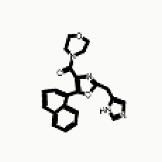 O=C(c1nc(Cc2cnc[nH]2)oc1-c1cccc2ccccc12)N1CCOCC1